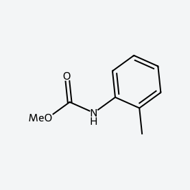 COC(=O)Nc1ccccc1C